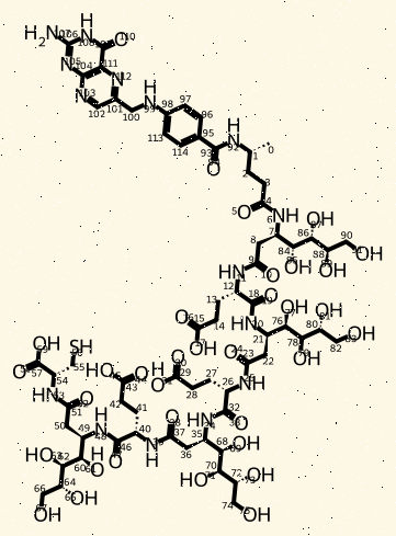 C[C@H](CCC(=O)N[C@H](CC(=O)N[C@@H](CCC(=O)O)C(=O)N[C@H](CC(=O)N[C@@H](CCC(=O)O)C(=O)N[C@H](CC(=O)N[C@@H](CCC(=O)O)C(=O)N[C@H](CC(=O)N[C@@H](CS)C(=O)O)[C@@H](O)[C@H](O)[C@H](O)CO)[C@@H](O)[C@H](O)[C@H](O)CO)[C@@H](O)C(O)[C@H](O)CO)[C@@H](O)[C@H](O)[C@H](O)CO)NC(=O)c1ccc(NCc2cnc3nc(N)[nH]c(=O)c3n2)cc1